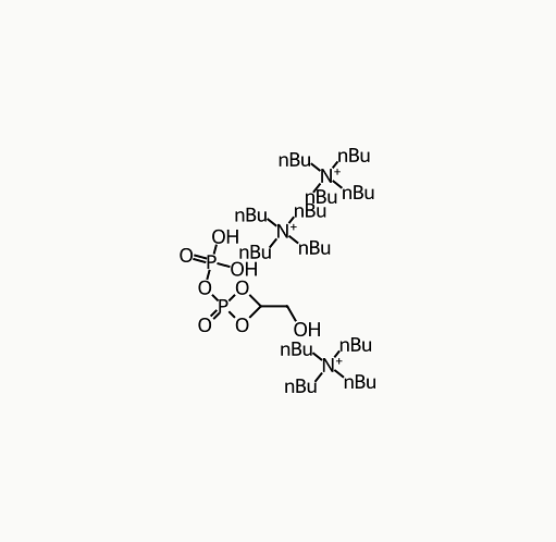 CCCC[N+](CCCC)(CCCC)CCCC.CCCC[N+](CCCC)(CCCC)CCCC.CCCC[N+](CCCC)(CCCC)CCCC.O=P(O)(O)OP1(=O)OC(CO)O1